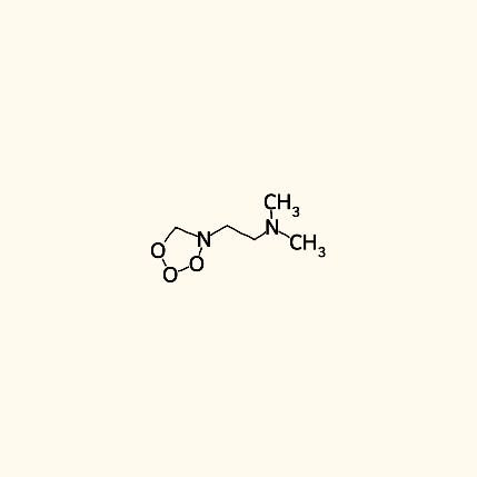 CN(C)CCN1COOO1